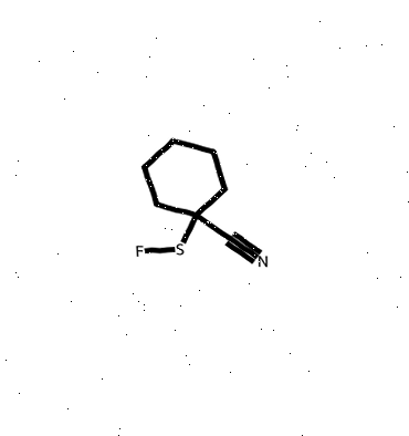 N#CC1(SF)CCCCC1